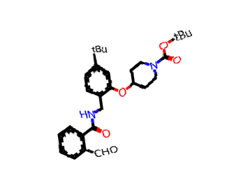 CC(C)(C)OC(=O)N1CCC(Oc2cc(C(C)(C)C)ccc2CNC(=O)c2ccccc2C=O)CC1